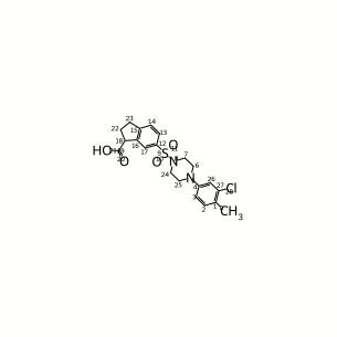 Cc1ccc(N2CCN(S(=O)(=O)c3ccc4c(c3)C(C(=O)O)CC4)CC2)cc1Cl